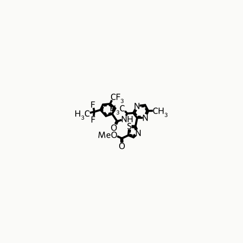 COC(=O)c1cnc(-c2nc(C)cnc2C(C)NC(=O)c2cc(C(C)(F)F)cc(C(F)(F)F)c2)s1